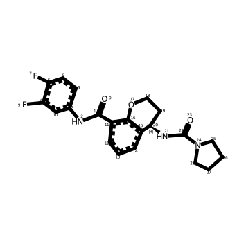 O=C(Nc1ccc(F)c(F)c1)c1cccc2c1OCC[C@H]2NC(=O)N1CCCC1